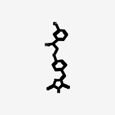 O=C1NC(=O)C(=Cc2ccc(OCC(O)c3cccc(Cl)c3)cc2)S1